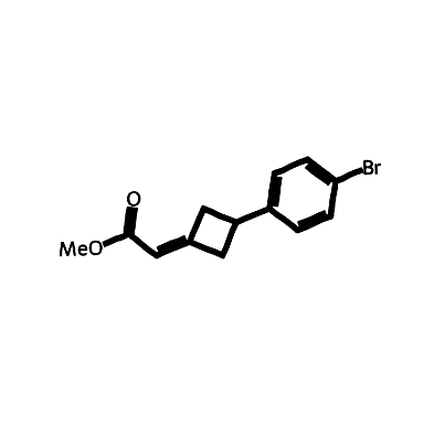 COC(=O)C=C1CC(c2ccc(Br)cc2)C1